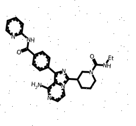 CCNC(=O)N1CCCC(c2nc(-c3ccc(C(=O)Nc4ccccn4)cc3)c3c(N)nccn23)C1